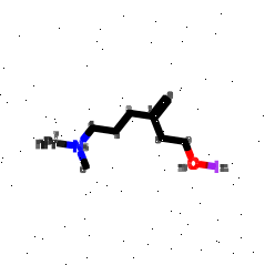 C=C(CCCN(C)CCC)CCOI